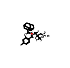 O=C(OC(CS(=O)(=O)O)(C(F)(F)F)C(F)(F)F)c1ccc(I)cc1OC(=O)C12CC3CC(CC(C3)C1)C2